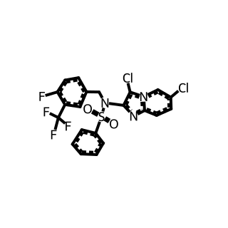 O=S(=O)(c1ccccc1)N(Cc1ccc(F)c(C(F)(F)F)c1)c1nc2ccc(Cl)cn2c1Cl